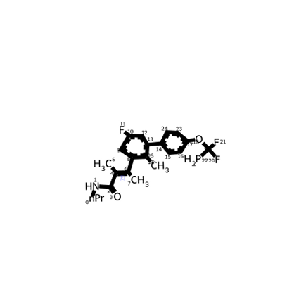 CCCNC(=O)/C(C)=C(\C)c1cc(F)cc(-c2ccc(OC(F)(F)P)cc2)c1C